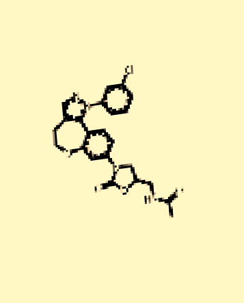 CC(=O)NCC1CN(c2ccc3c(c2)OCCc2cnn(-c4cccc(Cl)c4)c2-3)C(=O)O1